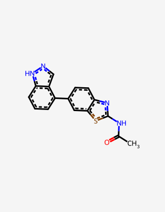 CC(=O)Nc1nc2ccc(-c3cccc4[nH]ncc34)cc2s1